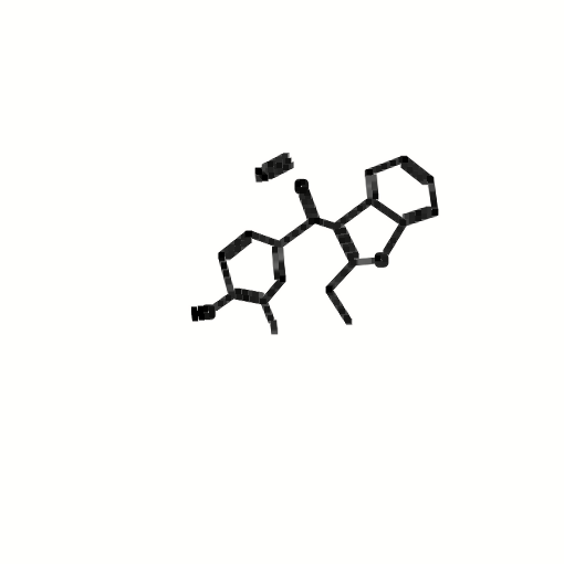 C#N.CCc1oc2ccccc2c1C(=O)c1ccc(O)c(I)c1